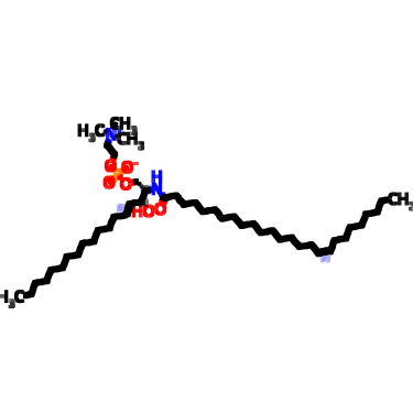 CCCCCCCC/C=C\CCCCCCCCCCCCCCCC(=O)N[C@@H](COP(=O)([O-])OCC[N+](C)(C)C)[C@H](O)/C=C/CCCCCCCCCCCCC